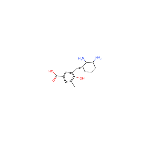 Cc1cc(C(=O)O)cc(C=C2CCCC(N)C2N)c1O